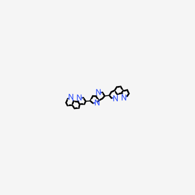 c1cnc2c(c1)ccc1cc(-c3cnc4cc(-c5cnc6c(ccc7cccnc76)c5)cnc4c3)cnc12